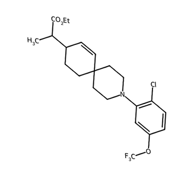 CCOC(=O)C(C)C1C=CC2(CC1)CCN(c1cc(OC(F)(F)F)ccc1Cl)CC2